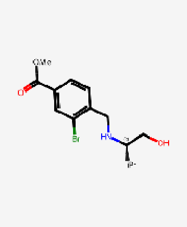 COC(=O)c1ccc(CN[C@@H](CO)C(C)C)c(Br)c1